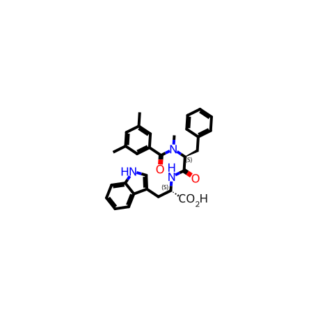 Cc1cc(C)cc(C(=O)N(C)[C@@H](Cc2ccccc2)C(=O)N[C@@H](Cc2c[nH]c3ccccc23)C(=O)O)c1